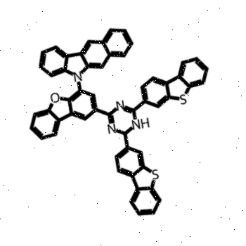 c1ccc2cc3c(cc2c1)c1ccccc1n3-c1cc(C2=NC(c3ccc4c(c3)sc3ccccc34)NC(c3ccc4c(c3)sc3ccccc34)=N2)cc2c1oc1ccccc12